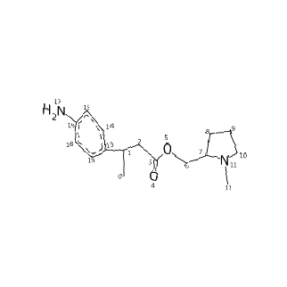 CC(CC(=O)OCC1CCCN1C)c1ccc(N)cc1